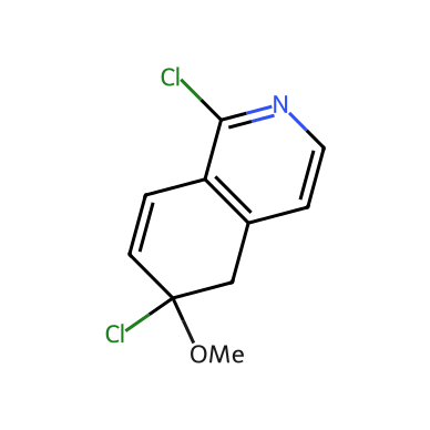 COC1(Cl)C=Cc2c(ccnc2Cl)C1